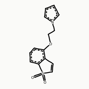 O=S1(=O)C=Cc2c(OCCn3cccc3)cccc21